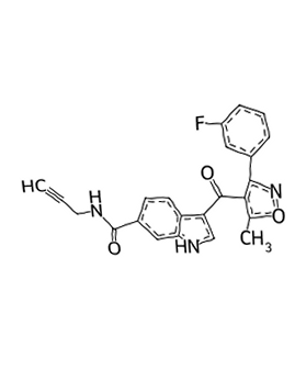 C#CCNC(=O)c1ccc2c(C(=O)c3c(-c4cccc(F)c4)noc3C)c[nH]c2c1